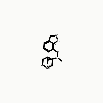 CN(Cc1cccc2cnsc12)C1CN2CCC1CC2